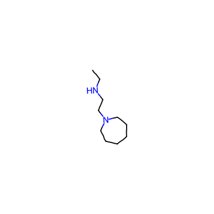 CCNCCN1CCCCCC1